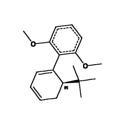 COc1cccc(OC)c1C1=CC=CC[C@@H]1C(C)(C)C